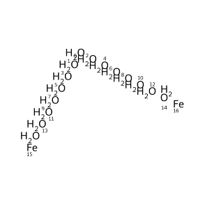 O.O.O.O.O.O.O.O.O.O.O.O.O.O.O.[Fe].[Fe]